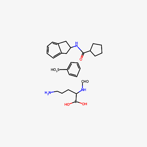 NCCCC(NC=O)B(O)O.O=C(NC1Cc2ccccc2C1)C1CCCC1.O=S(=O)(O)c1ccccc1